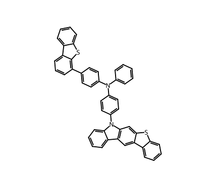 c1ccc(N(c2ccc(-c3cccc4c3sc3ccccc34)cc2)c2ccc(-n3c4ccccc4c4cc5c(cc43)sc3ccccc35)cc2)cc1